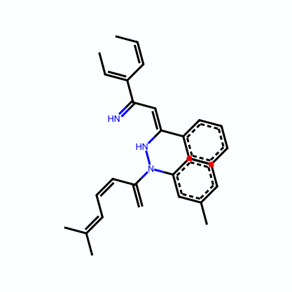 C=C(/C=C\C=C(C)C)N(N/C(=C\C(=N)C(/C=C\C)=C/C)c1ccccc1)c1cccc(C)c1